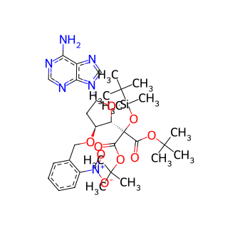 CC(C)(C)OC(=O)C(O[Si](C)(C)C(C)(C)C)(C(=O)OC(C)(C)C)[C@H]1O[C@@H](n2cnc3c(N)ncnc32)C[C@@H]1OCc1ccccc1[N+](=O)[O-]